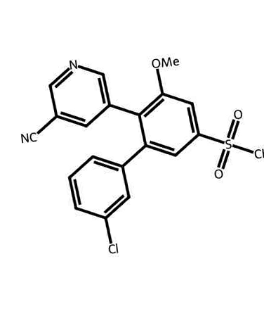 COc1cc(S(C)(=O)=O)cc(-c2cccc(Cl)c2)c1-c1cncc(C#N)c1